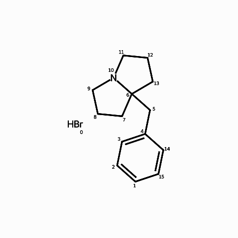 Br.c1ccc(CC23CCCN2CCC3)cc1